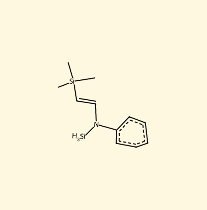 C[Si](C)(C)C=CN([SiH3])c1ccccc1